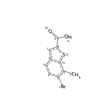 Cc1c(Br)ccc2cc(C(=O)O)sc12